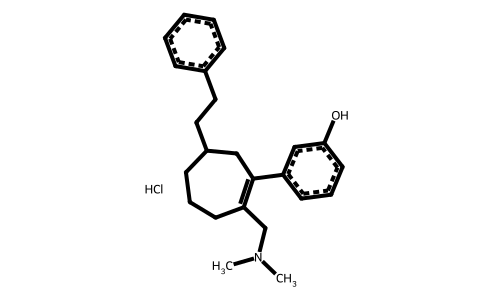 CN(C)CC1=C(c2cccc(O)c2)CC(CCc2ccccc2)CCC1.Cl